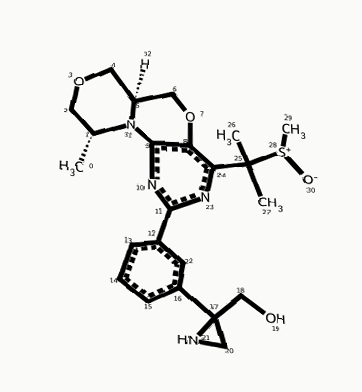 C[C@@H]1COC[C@H]2COc3c(nc(-c4cccc(C5(CO)CN5)c4)nc3C(C)(C)[S+](C)[O-])N21